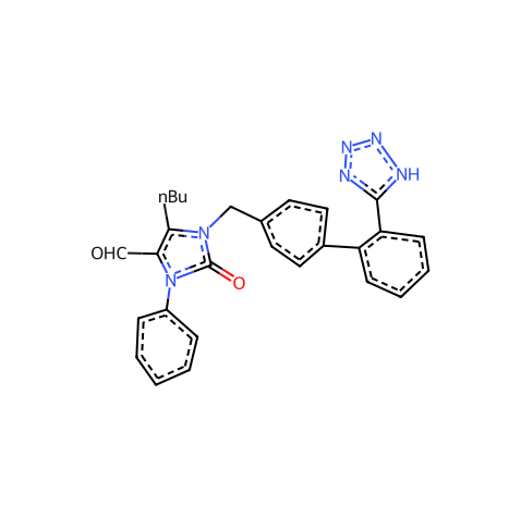 CCCCc1c(C=O)n(-c2ccccc2)c(=O)n1Cc1ccc(-c2ccccc2-c2nnn[nH]2)cc1